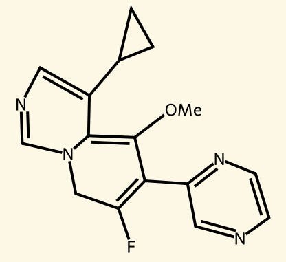 COC1=C2C(C3CC3)=CN=CN2CC(F)=C1c1cnccn1